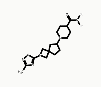 CCN(CC)C(=O)C1CCN(C2CCC3(C2)CN(c2nc(C)no2)C3)CC1